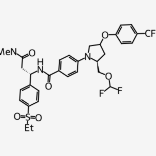 CCS(=O)(=O)c1ccc([C@H](CC(=O)NC)NC(=O)c2ccc(N3CC(Oc4ccc(C(F)(F)F)cc4)C[C@H]3COC(F)F)cc2)cc1